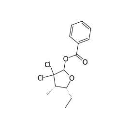 CC[C@H]1OC(OC(=O)c2ccccc2)C(Cl)(Cl)[C@H]1C